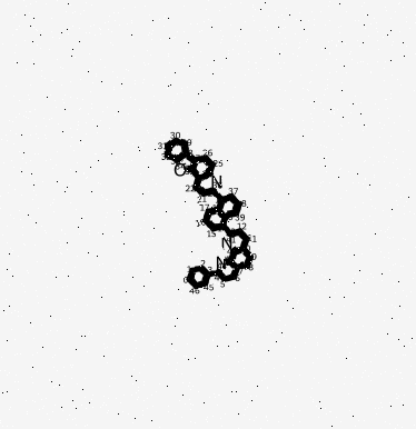 c1ccc(-c2ccc3ccc4ccc(-c5cccc6c(-c7ccc8c(ccc9c%10ccccc%10oc89)n7)cccc56)nc4c3n2)cc1